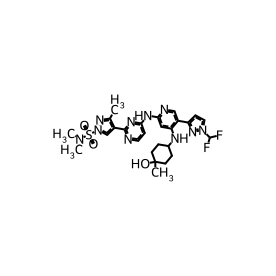 Cc1nn(S(=O)(=O)N(C)C)cc1-c1nccc(Nc2cc(NC3CCC(C)(O)CC3)c(-c3ccn(C(F)F)n3)cn2)n1